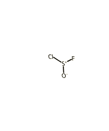 [O-][S+](F)Cl